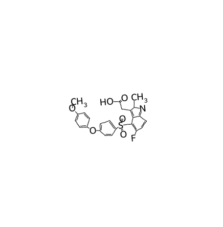 COc1ccc(Oc2ccc(S(=O)(=O)c3c(F)ccc4c3=C(CC(=O)O)C(C)N=4)cc2)cc1